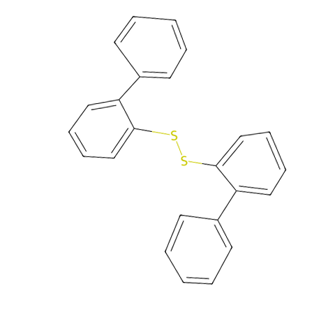 c1ccc(-c2ccccc2SSc2ccccc2-c2ccccc2)cc1